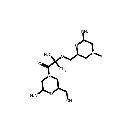 CC(C)(OCC1CN(I)CC(N)O1)C(=O)N1CC(N)OC(CO)C1